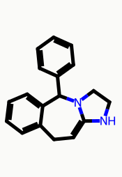 C1=C2NCCN2C(c2ccccc2)c2ccccc2C1